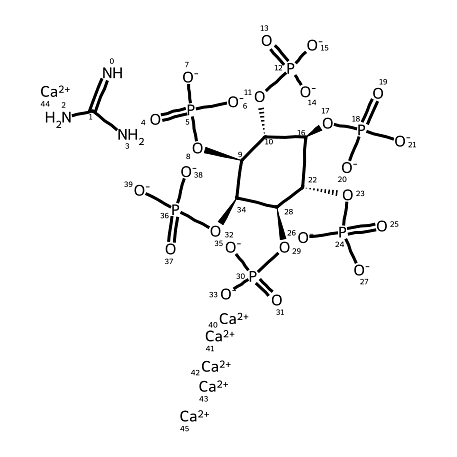 N=C(N)N.O=P([O-])([O-])O[C@H]1[C@H](OP(=O)([O-])[O-])[C@@H](OP(=O)([O-])[O-])[C@H](OP(=O)([O-])[O-])[C@@H](OP(=O)([O-])[O-])[C@H]1OP(=O)([O-])[O-].[Ca+2].[Ca+2].[Ca+2].[Ca+2].[Ca+2].[Ca+2]